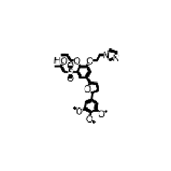 CCCOc1c(OCCn2ccnc2)cc(C2CCC(c3cc(OC)c(OC)c(OC)c3)O2)cc1S(=O)(=O)CC(C)O